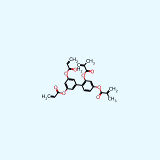 C=CC(=O)Oc1cc(OC(=O)C=C)cc(-c2ccc(OC(=O)C(=C)C)cc2OC(=O)C(=C)C)c1